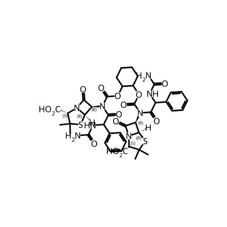 CC1(C)S[C@@H]2[C@H](N(C(=O)OC3CCCCC3OC(=O)N(C(=O)C(NC(N)=O)c3ccccc3)[C@@H]3C(=O)N4[C@@H]3SC(C)(C)[C@@H]4C(=O)O)C(=O)C(NC(N)=O)c3ccccc3)C(=O)N2[C@H]1C(=O)O